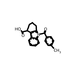 Cc1ccc(C(=O)n2c3c(c4ccccc42)C(C(=O)O)CCC3)cc1